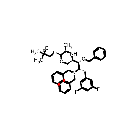 C[C@H]1N[C@@H]([C@H](OCc2ccccc2)[C@H](Cc2cc(F)cc(F)c2)N(Cc2ccccc2)Cc2ccccc2)CO[C@H]1OCC(C)(C)C